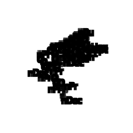 CCCCCCCCCCC(CCC)(CCC)OOOCCC.CCCCCCCCCCCC(CCC)(CCC)OOOCCC.CCCCCCCCCCCCC(CCC)(CCC)OOOCCC.CCCCCCCCCCOOOCCCC.CCCCCCCCCOOOCCCC.CCCCCCCCOOOCCCC.CCCCCCCOOOCCCC.CCCCCCOOOCCCC